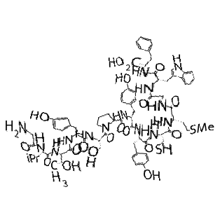 CSCC[C@H](NC(=O)[C@H](CS)NC(=O)[C@H](Cc1ccc(O)cc1)NC(=O)[C@H](Cc1ccc(O)cc1)NC(=O)[C@@H]1CCCN1C(=O)[C@H](CO)NC(=O)[C@H](Cc1ccc(O)cc1)NC(=O)[C@@H](NC(=O)[C@@H](NC(=O)CN)C(C)C)[C@@H](C)O)C(=O)NCC(=O)N[C@@H](Cc1c[nH]c2ccccc12)C(=O)N[C@@H](Cc1ccccc1)C(=O)O